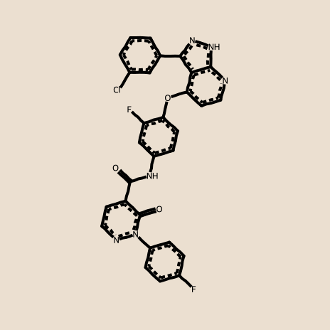 O=C(Nc1ccc(Oc2ccnc3[nH]nc(-c4cccc(Cl)c4)c23)c(F)c1)c1ccnn(-c2ccc(F)cc2)c1=O